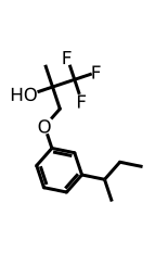 CCC(C)c1cccc(OCC(C)(O)C(F)(F)F)c1